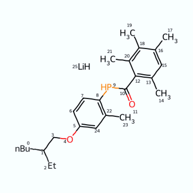 CCCCC(CC)COc1ccc(PC(=O)c2c(C)cc(C)c(C)c2C)c(C)c1.[LiH]